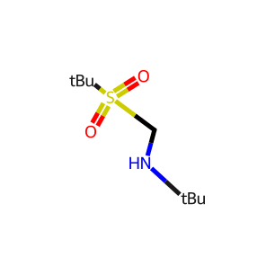 CC(C)(C)NCS(=O)(=O)C(C)(C)C